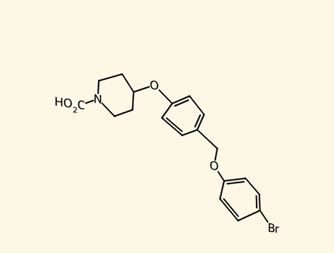 O=C(O)N1CCC(Oc2ccc(COc3ccc(Br)cc3)cc2)CC1